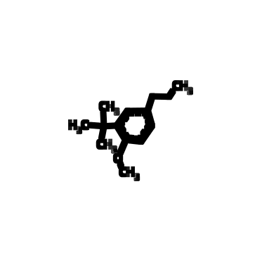 CCCc1ccc(OC)c(C(C)(C)C)c1